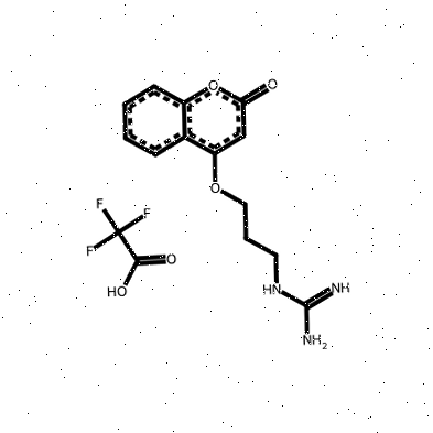 N=C(N)NCCCOc1cc(=O)oc2ccccc12.O=C(O)C(F)(F)F